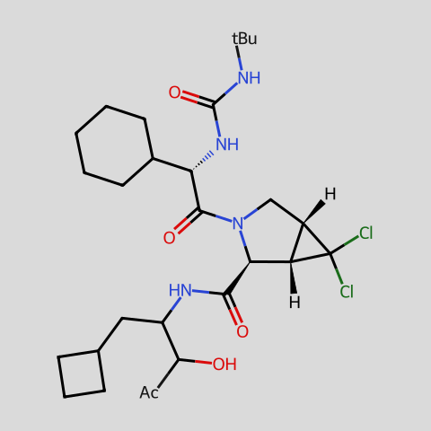 CC(=O)C(O)C(CC1CCC1)NC(=O)[C@@H]1[C@@H]2[C@H](CN1C(=O)[C@@H](NC(=O)NC(C)(C)C)C1CCCCC1)C2(Cl)Cl